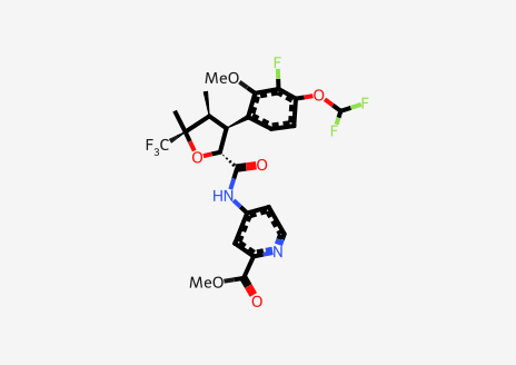 COC(=O)c1cc(NC(=O)[C@@H]2O[C@@](C)(C(F)(F)F)[C@@H](C)[C@H]2c2ccc(OC(F)F)c(F)c2OC)ccn1